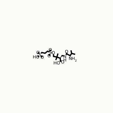 CC(C)[C@H](N)C(=O)NC[C@@H](C(=O)O)C(C)(C)COS(=O)(=O)CCCS(=O)(=O)O